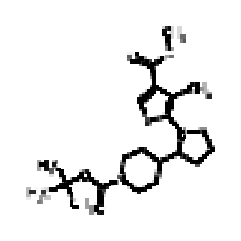 COC(=O)c1csc(N2CCCC2C2CCN(C(=O)OC(C)(C)C)CC2)c1C